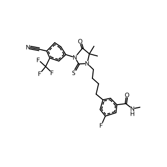 CNC(=O)c1cc(F)cc(CCCCN2C(=S)N(c3ccc(C#N)c(C(F)(F)F)c3)C(=O)C2(C)C)c1